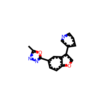 Cc1nnc(-c2ccc3occ(-c4cccnc4)c3c2)o1